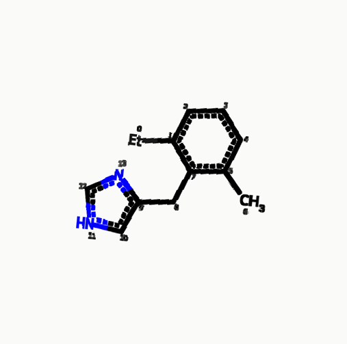 CCc1cccc(C)c1Cc1c[nH]cn1